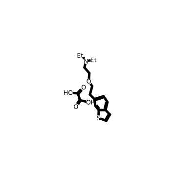 CCN(CC)CCOCCc1ccc2ccsc2c1.O=C(O)C(=O)O